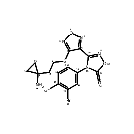 NC1(CCSc2nonc2-c2noc(=O)n2-c2ccc(F)c(Br)c2)CC1